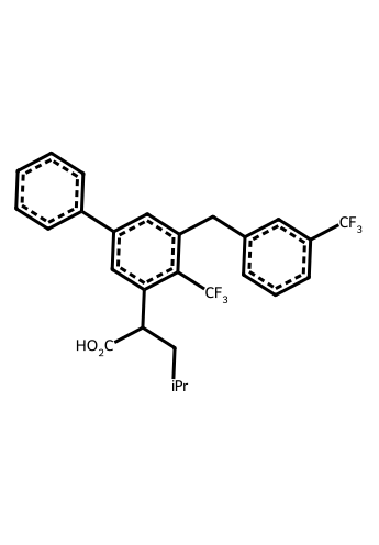 CC(C)CC(C(=O)O)c1cc(-c2ccccc2)cc(Cc2cccc(C(F)(F)F)c2)c1C(F)(F)F